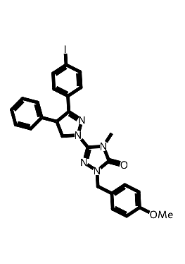 COc1ccc(Cn2nc(N3CC(c4ccccc4)C(c4ccc(I)cc4)=N3)n(C)c2=O)cc1